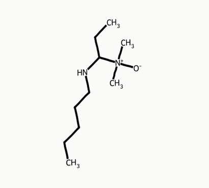 CCCCCNC(CC)[N+](C)(C)[O-]